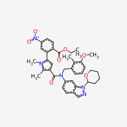 CCOC(=O)c1ccc([N+](=O)[O-])cc1-c1cc(C(=O)N(Cc2cccc(OC)c2C)c2ccc3cnn(C4CCCCO4)c3c2)c(C)n1C